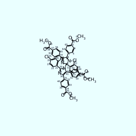 COC(=O)c1ccc(C2=NC(c3ccc(Cl)cc3Cl)(n3c(-c4ccc(Cl)cc4Cl)nc(-c4ccc(C(=O)OC)cc4)c3-c3ccc(C(=O)OC)cc3)N=C2c2ccc(C(=O)OC)cc2)cc1